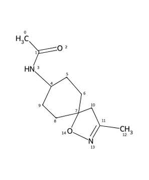 CC(=O)NC1CCC2(CC1)CC(C)=NO2